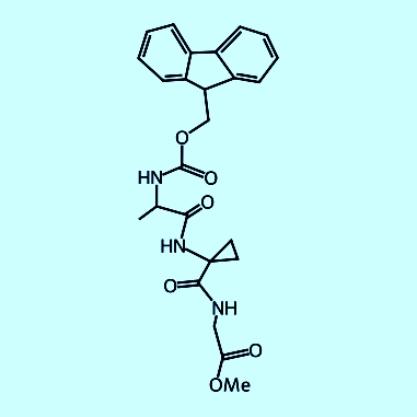 COC(=O)CNC(=O)C1(NC(=O)C(C)NC(=O)OCC2c3ccccc3-c3ccccc32)CC1